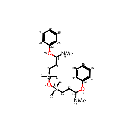 CNC(CC[Si](C)(C)O[Si](C)(C)CCC(NC)Oc1ccccc1)Oc1ccccc1